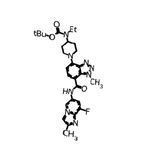 CCN(C(=O)OC(C)(C)C)C1CCN(c2ccc(C(=O)Nc3cc(F)c4nc(C)cn4c3)c3c2nnn3C)CC1